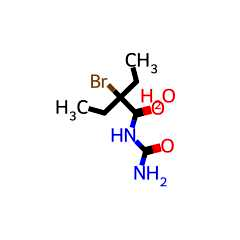 CCC(Br)(CC)C(=O)NC(N)=O.O